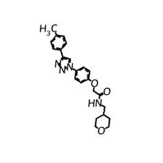 Cc1ccc(-c2cn(-c3ccc(OCC(=O)NCC4CCOCC4)cc3)nn2)cc1